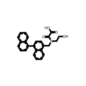 O=C(O)C(=O)N(CCO)Cc1ccc(-c2cccc3ccccc23)c2ccccc12